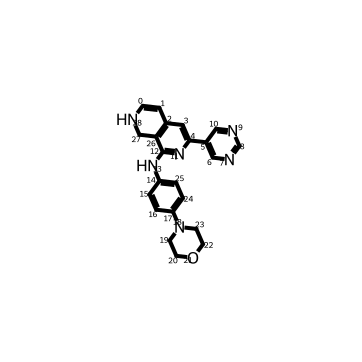 C1=Cc2cc(-c3cncnc3)nc(Nc3ccc(N4CCOCC4)cc3)c2CN1